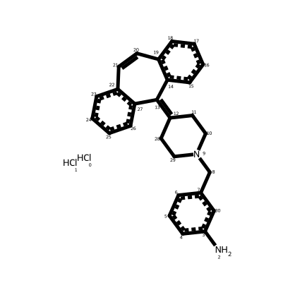 Cl.Cl.Nc1cccc(CN2CCC(=C3c4ccccc4C=Cc4ccccc43)CC2)c1